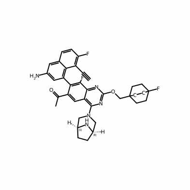 C#Cc1c(F)ccc2cc(N)cc(-c3c(C(C)=O)cc4c(N5C[C@H]6CC[C@@H](C5)N6)nc(OCC56CCC(F)(CC5)CC6)nc4c3F)c12